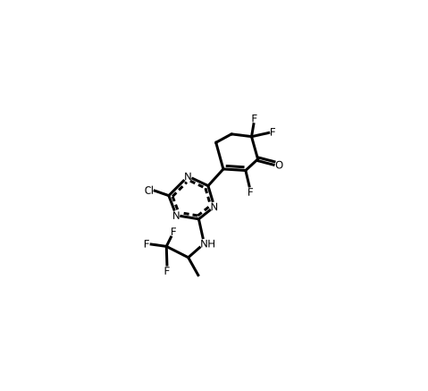 CC(Nc1nc(Cl)nc(C2=C(F)C(=O)C(F)(F)CC2)n1)C(F)(F)F